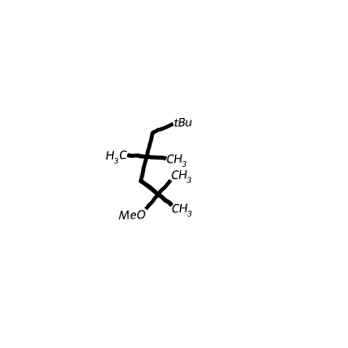 COC(C)(C)CC(C)(C)CC(C)(C)C